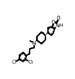 CN(CCCc1ccc(Cl)cc1Cl)[C@H]1CC[C@H](c2ccc3[nH]c(=O)oc3c2)CC1